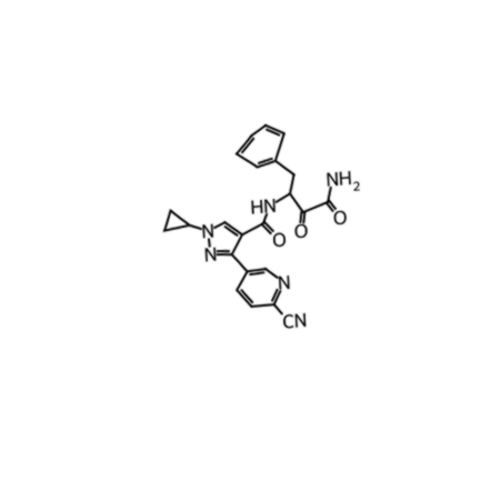 N#Cc1ccc(-c2nn(C3CC3)cc2C(=O)NC(Cc2ccccc2)C(=O)C(N)=O)cn1